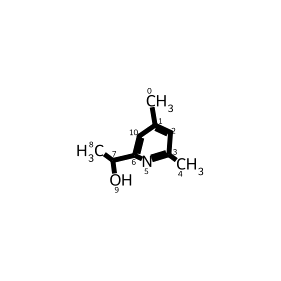 Cc1cc(C)nc(C(C)O)c1